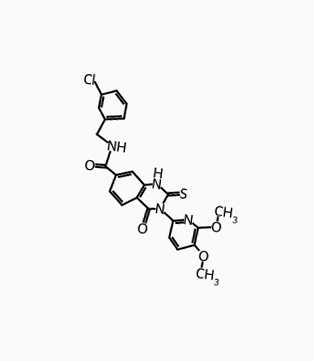 COc1ccc(-n2c(=S)[nH]c3cc(C(=O)NCc4cccc(Cl)c4)ccc3c2=O)nc1OC